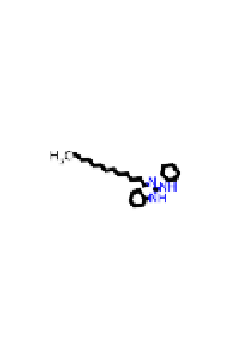 CCCCCCCCCCCCCN=C(NC1CCCCC1)NC1CCCCC1